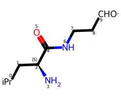 CC(C)C[C@H](N)C(=O)NCC[C]=O